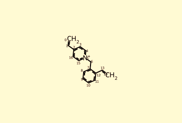 C=Cc1cc[n+](Cc2ccccc2C=C)cc1